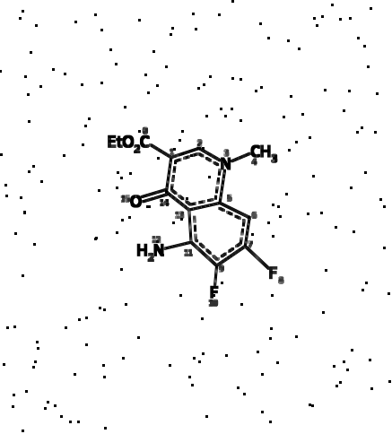 CCOC(=O)c1cn(C)c2cc(F)c(F)c(N)c2c1=O